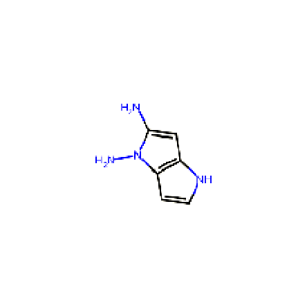 Nc1cc2[nH]ccc2n1N